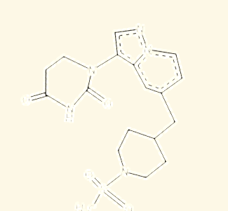 CS(=O)(=O)N1CCC(Cc2ccn3ncc(N4CCC(=O)NC4=O)c3c2)CC1